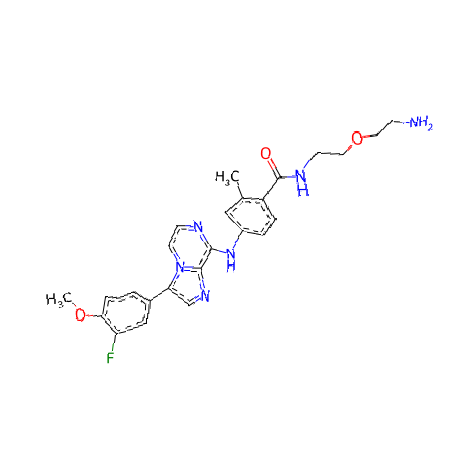 COc1ccc(-c2cnc3c(Nc4ccc(C(=O)NCCOCCN)c(C)c4)nccn23)cc1F